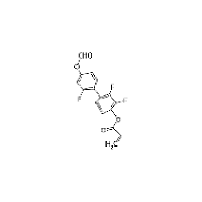 C=CC(=O)Oc1ccc(-c2ccc(OC=O)cc2F)c(F)c1F